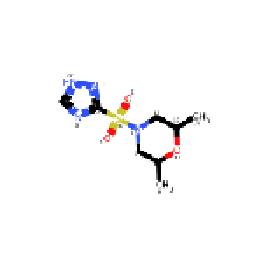 CC1CN(S(=O)(=O)c2nc[nH]n2)CC(C)O1